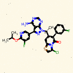 CC(C)Oc1ncc(-c2nn([C@H](C)c3cc4scc(Cl)n4c(=O)c3-c3cccc(F)c3)c3ncnc(N)c23)cc1F